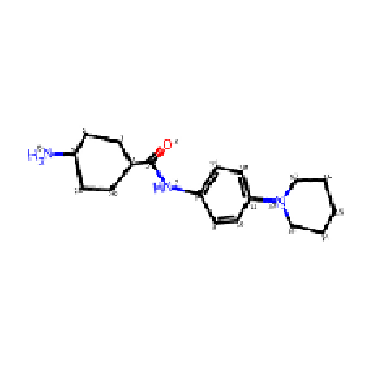 NC1CCC(C(=O)Nc2ccc(N3CCCCC3)cc2)CC1